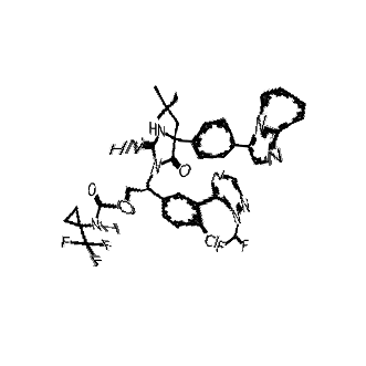 CC(C)(C)C[C@]1(c2ccc(-c3cnc4ccccn34)cc2)NC(=N)N([C@H](COC(=O)NC2(C(F)(F)F)CC2)c2ccc(Cl)c(-c3ncnn3C(F)F)c2)C1=O